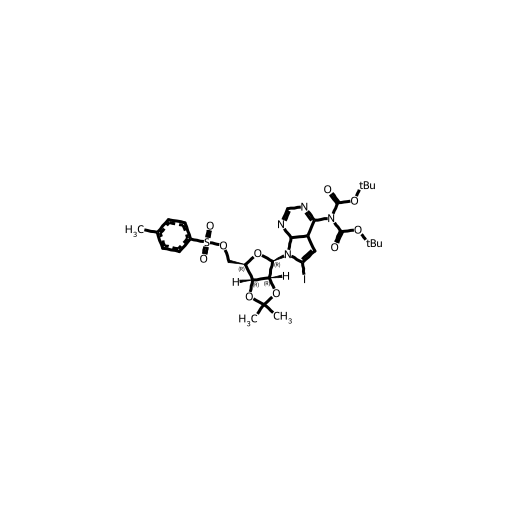 Cc1ccc(S(=O)(=O)OC[C@H]2O[C@@H](N3C(I)=CC4C(N(C(=O)OC(C)(C)C)C(=O)OC(C)(C)C)=NC=NC43)[C@@H]3OC(C)(C)O[C@@H]32)cc1